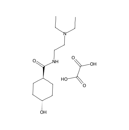 CCN(CC)CCNC(=O)[C@H]1CC[C@H](O)CC1.O=C(O)C(=O)O